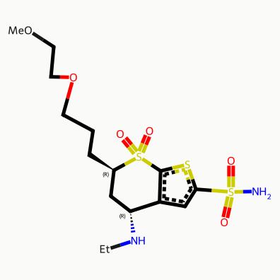 CCN[C@@H]1C[C@@H](CCCOCCOC)S(=O)(=O)c2sc(S(N)(=O)=O)cc21